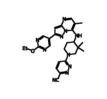 CCOc1ncc(-c2cc3ncc(C)c(NC4CCN(c5ccc(C#N)nn5)CC4(C)C)n3n2)cn1